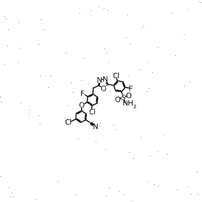 N#Cc1cc(Cl)cc(Oc2c(Cl)ccc(Cc3nnc(-c4cc(S(N)(=O)=O)c(F)cc4Cl)o3)c2F)c1